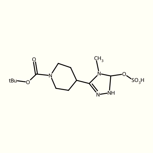 CN1C(C2CCN(C(=O)OC(C)(C)C)CC2)=NNC1OS(=O)(=O)O